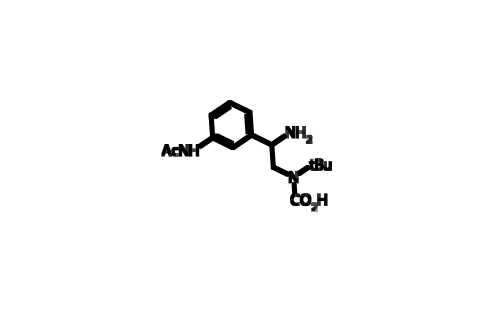 CC(=O)Nc1cccc(C(N)CN(C(=O)O)C(C)(C)C)c1